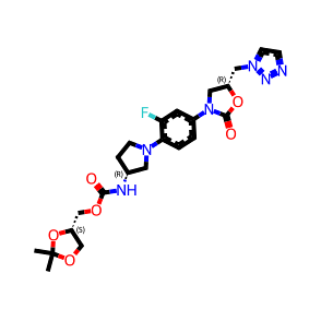 CC1(C)OC[C@@H](COC(=O)N[C@@H]2CCN(c3ccc(N4C[C@H](Cn5ccnn5)OC4=O)cc3F)C2)O1